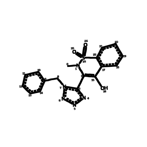 CN1C(c2nnnn2Cc2ccccc2)=C(O)c2ccccc2S1(=O)=O